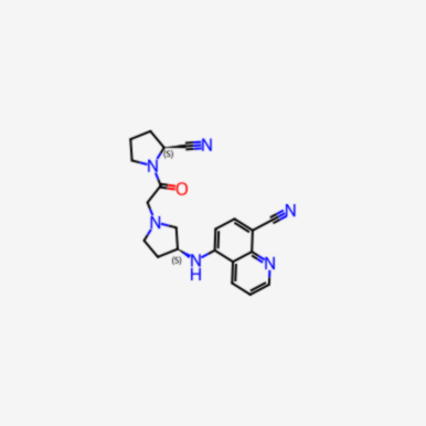 N#Cc1ccc(N[C@H]2CCN(CC(=O)N3CCC[C@H]3C#N)C2)c2cccnc12